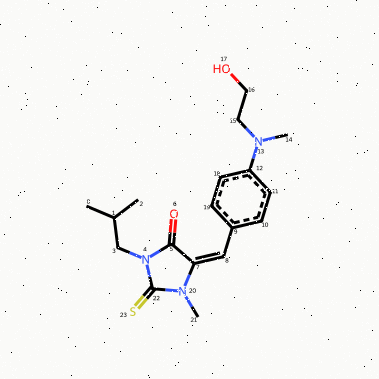 CC(C)CN1C(=O)/C(=C\c2ccc(N(C)CCO)cc2)N(C)C1=S